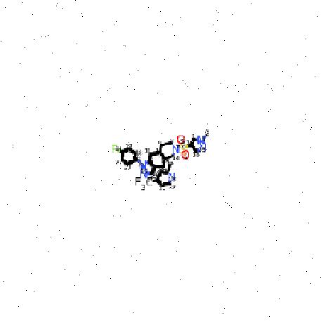 Cn1cc(S(=O)(=O)N2CCC3=Cc4c(cnn4-c4ccc(F)cc4)C[C@]3(Cc3cc(C(F)(F)F)ccn3)C2)cn1